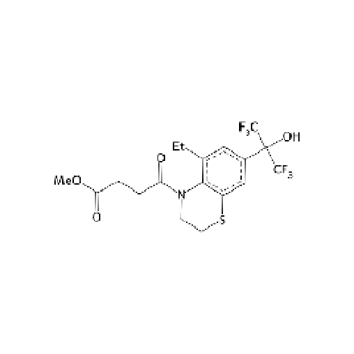 CCc1cc(C(O)(C(F)(F)F)C(F)(F)F)cc2c1N(C(=O)CCC(=O)OC)CCS2